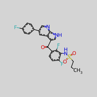 CCCS(=O)(=O)Nc1c(F)ccc(C(=O)c2c[nH]c3ncc(-c4ccc(F)cc4)cc23)c1F